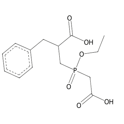 CCOP(=O)(CC(=O)O)CC(Cc1ccccc1)C(=O)O